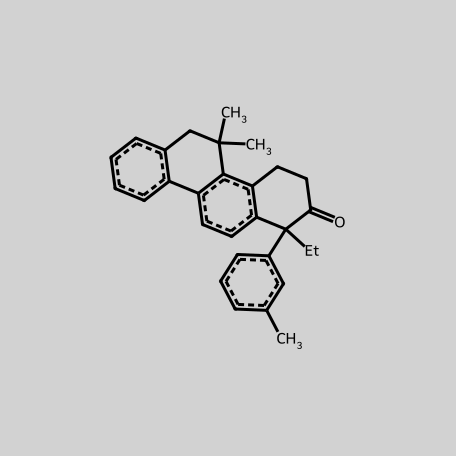 CCC1(c2cccc(C)c2)C(=O)CCc2c1ccc1c2C(C)(C)Cc2ccccc2-1